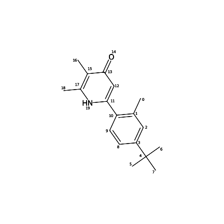 Cc1cc(C(C)(C)C)ccc1-c1cc(=O)c(C)c(C)[nH]1